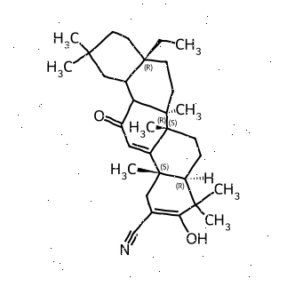 CC[C@]12CCC(C)(C)CC1C1C(=O)C=C3[C@@]4(C)CC(C#N)=C(O)C(C)(C)[C@@H]4CC[C@@]3(C)[C@]1(C)CC2